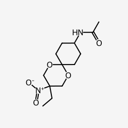 CCC1([N+](=O)[O-])COC2(CCC(NC(C)=O)CC2)OC1